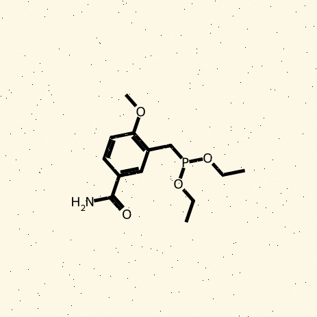 CCOP(Cc1cc(C(N)=O)ccc1OC)OCC